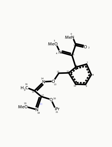 CNC(=O)C(=NOC)c1ccccc1CON=C(C)/C(=N\OC)OC(C)C